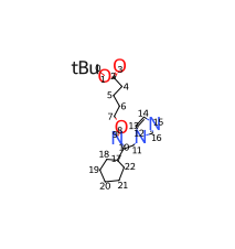 CC(C)(C)OC(=O)CCCCON=C(Cn1ccnc1)C1CCCCC1